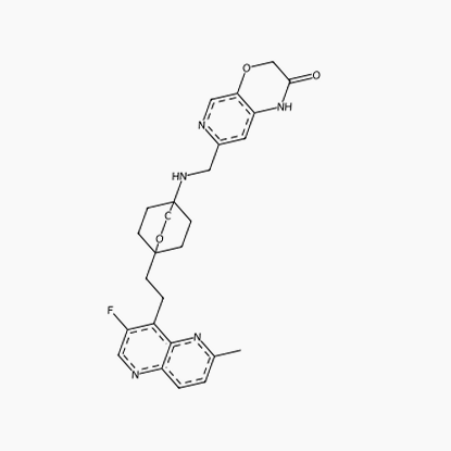 Cc1ccc2ncc(F)c(CCC34CCC(NCc5cc6c(cn5)OCC(=O)N6)(CC3)CO4)c2n1